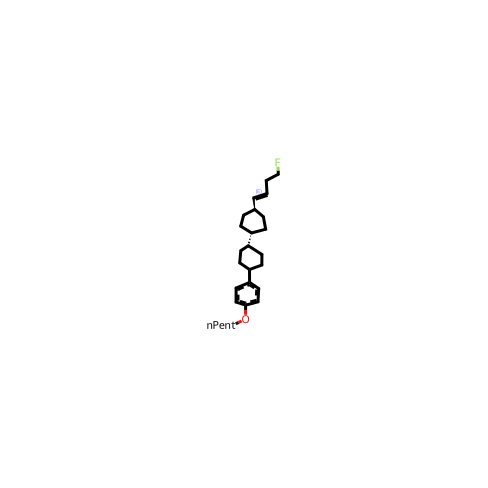 CCCCCOc1ccc(C2CCC([C@H]3CC[C@H](/C=C/CCF)CC3)CC2)cc1